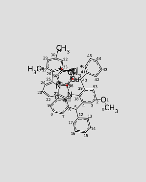 COc1cc(C(c2ccccc2)c2ccccc2)c(N2C=C3C=CC=C(c4c(C)cc(C)cc4C)N3[CH]2[Cu][Cl])c(C(c2ccccc2)c2ccccc2)c1